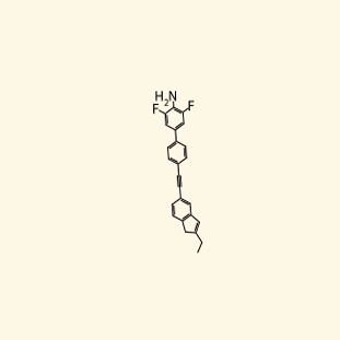 CCC1=Cc2cc(C#Cc3ccc(-c4cc(F)c(N)c(F)c4)cc3)ccc2C1